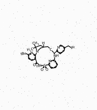 CC(C)Cc1ccc(C2CC[C@@H]3CN(c4nc(C(C)(C)C)ccc4C(=O)NS(=O)(=O)c4cccc(n4)N2)C(C)(C)C3)nc1